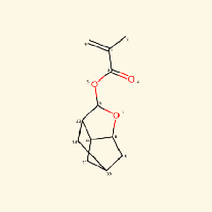 C=C(C)C(=O)OC1OC2CC3CC2C1C3